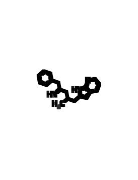 CC(CC(=N)Cc1ccccc1)Cc1cc2cccnc2[nH]1